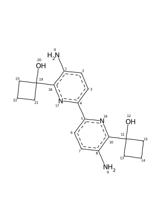 Nc1ccc(-c2ccc(N)c(C3(O)CCC3)n2)nc1C1(O)CCC1